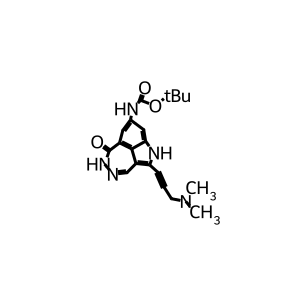 CN(C)CC#Cc1[nH]c2cc(NC(=O)OC(C)(C)C)cc3c2c1C=NNC3=O